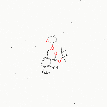 COc1ccc(COC2CCCCO2)c(B2OC(C)(C)C(C)(C)O2)c1C#N